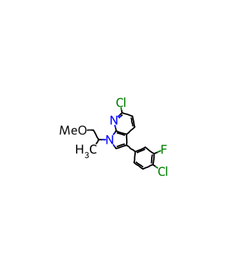 COCC(C)n1cc(-c2ccc(Cl)c(F)c2)c2ccc(Cl)nc21